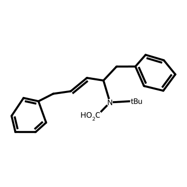 CC(C)(C)N(C(=O)O)C(C=CCc1ccccc1)Cc1ccccc1